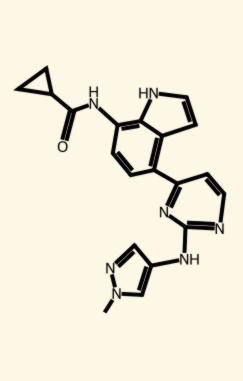 Cn1cc(Nc2nccc(-c3ccc(NC(=O)C4CC4)c4[nH]ccc34)n2)cn1